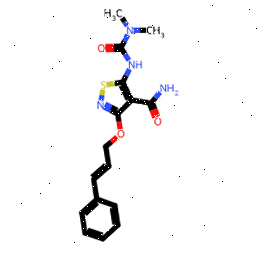 CN(C)C(=O)Nc1snc(OCC=Cc2ccccc2)c1C(N)=O